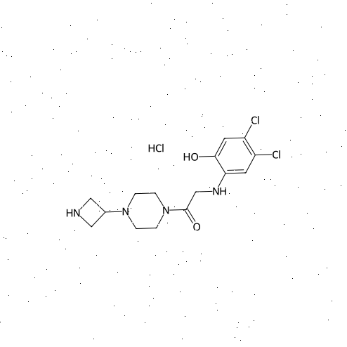 Cl.O=C(CNc1cc(Cl)c(Cl)cc1O)N1CCN(C2CNC2)CC1